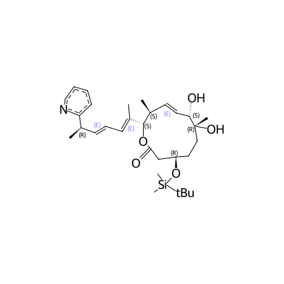 C/C(=C\C=C\[C@@H](C)c1ccccn1)[C@H]1OC(=O)C[C@H](O[Si](C)(C)C(C)(C)C)CC[C@@](C)(O)[C@@H](O)/C=C/[C@@H]1C